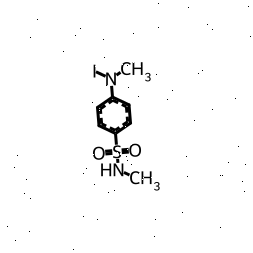 CNS(=O)(=O)c1ccc(N(C)I)cc1